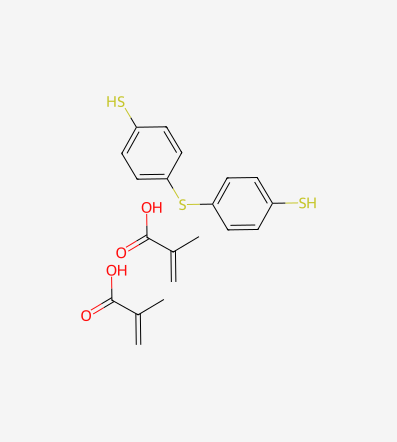 C=C(C)C(=O)O.C=C(C)C(=O)O.Sc1ccc(Sc2ccc(S)cc2)cc1